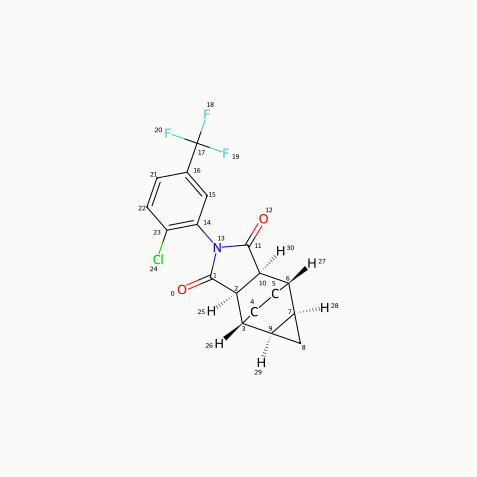 O=C1[C@@H]2[C@@H]3CC[C@@H]([C@H]4C[C@H]43)[C@@H]2C(=O)N1c1cc(C(F)(F)F)ccc1Cl